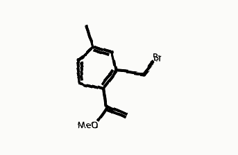 C=C(OC)c1ccc(C)cc1CBr